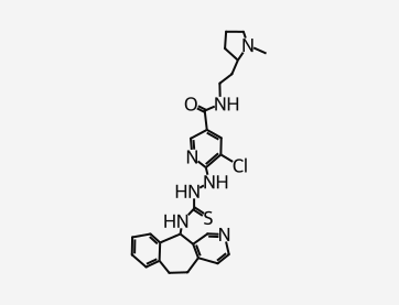 CN1CCCC1CCNC(=O)c1cnc(NNC(=S)NC2c3ccccc3CCc3ccncc32)c(Cl)c1